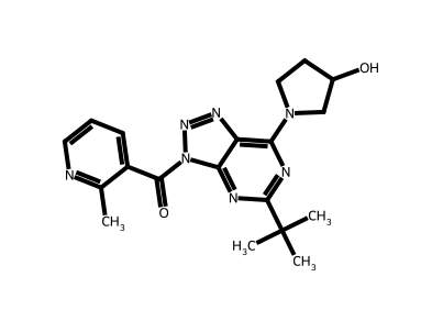 Cc1ncccc1C(=O)n1nnc2c(N3CCC(O)C3)nc(C(C)(C)C)nc21